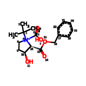 CC(C)(C)[N+]1(C(=O)O)CC[C@H](O)[C@H]1C(=O)OCc1ccccc1